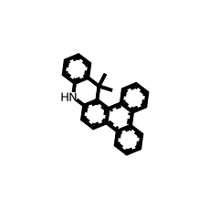 CC1(C)c2ccccc2Nc2ccc3c4ccccc4c4ccccc4c3c21